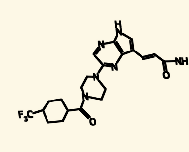 NC(=O)C=Cc1c[nH]c2ncc(N3CCN(C(=O)C4CCC(C(F)(F)F)CC4)CC3)nc12